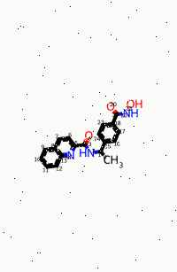 CC(NC(=O)c1ccc2ccccc2n1)c1ccc(C(=O)NO)cc1